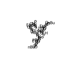 CCCCOC(=O)N1CCN(C(=O)[C@H](CC)NC(=O)c2cc(N3CC4CC4(CCCCC(C(C(=O)O)C45CC4CN(c4cc(C(=O)N[C@@H](CC)C(=O)N6CCN(C(=O)OCCCC)CC6)nc(-c6ccccc6)n4)C5)C45CC4CN(c4cc(C(=O)N[C@@H](CC)C(=O)N6CCN(C(=O)OCCCC)CC6)nc(-c6ccccc6)n4)C5)C3)nc(-c3ccccc3)n2)CC1